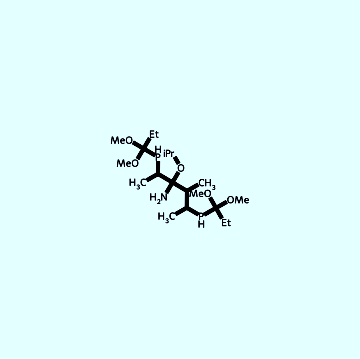 CCC(OC)(OC)PC(C)C(C)C(N)(OC(C)C)C(C)PC(CC)(OC)OC